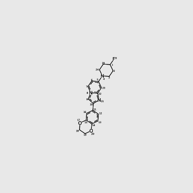 FC1CCN(c2ccn3cc(-c4ccc5c(c4)OCCO5)nc3c2)CC1